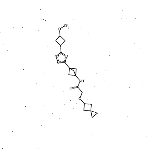 O=C(COC1CC2(CC2)C1)NC12CC(c3nnc(C4CC(OC(F)(F)F)C4)o3)(C1)C2